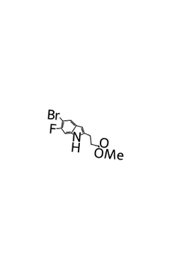 COC(=O)CCc1cc2cc(Br)c(F)cc2[nH]1